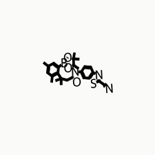 Cc1cc(C)c2c(c1)B1OC(C)(C)C(C)(O1)N(c1ccc3nc(C#N)sc3c1)C(=O)CC2(C)C